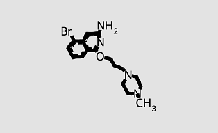 CN1CCN(CCCOc2nc(N)cc3c(Br)cccc23)CC1